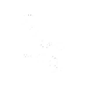 COC(=O)Cc1ccc(CONC(=O)[C@@H]2c3cc(OC)ccc3C(=O)N([C@H]3CCCC[C@@H]3NS(C)(=O)=O)[C@H]2c2ccc(Cl)cc2Cl)cc1